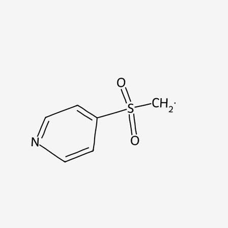 [CH2]S(=O)(=O)c1ccncc1